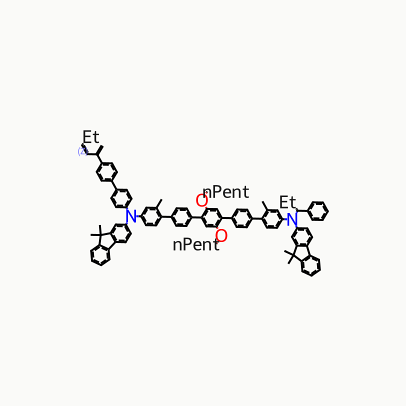 C=C(/C=C\CC)c1ccc(-c2ccc(N(c3ccc(-c4ccc(-c5cc(OCCCCC)c(-c6ccc(-c7ccc(N(c8ccc9c(c8)C(C)(C)c8ccccc8-9)C(CC)c8ccccc8)cc7C)cc6)cc5OCCCCC)cc4)c(C)c3)c3ccc4c(c3)C(C)(C)c3ccccc3-4)cc2)cc1